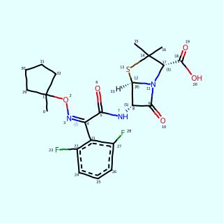 CC1(O/N=C(\C(=O)N[C@H]2C(=O)N3[C@@H]2SC(C)(C)[C@@H]3C(=O)O)c2c(F)cccc2F)CCCC1